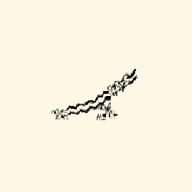 C=COOOOOC=CCCCCCCCCCCCCCCCCCC.C=COOOOOC=CCCCCCCCCCCCCCCCCCC.O=P(O)(O)O